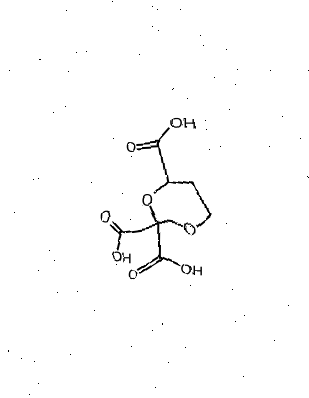 O=C(O)C1CCOC(C(=O)O)(C(=O)O)O1